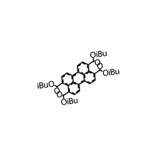 CC(C)COC(=O)c1ccc2c3ccc(C(=O)OCC(C)C)c4c(C(=O)OCC(C)C)ccc(c5ccc(C(=O)OCC(C)C)c1c25)c43